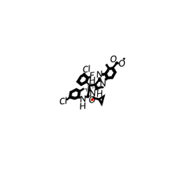 COC(=O)c1ccc2c(nc3n2C[C@H]2[C@@H]3[C@H](c3cccc(Cl)c3F)[C@@]3(Cc4ccc(Cl)cc4NC3=O)N2CC2CC2)c1C